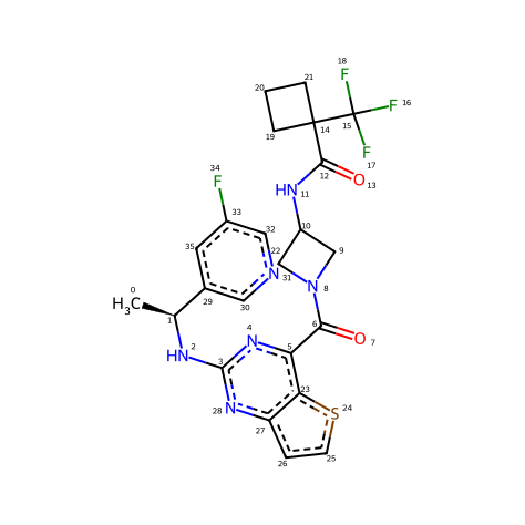 C[C@H](Nc1nc(C(=O)N2CC(NC(=O)C3(C(F)(F)F)CCC3)C2)c2sccc2n1)c1cncc(F)c1